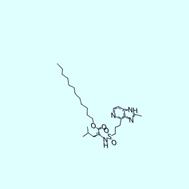 CCCCCCCCCCCCOC(=O)[C@H](CC(C)C)NS(=O)(=O)CCCc1nccc2[nH]c(C)nc12